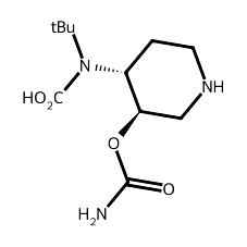 CC(C)(C)N(C(=O)O)[C@@H]1CCNC[C@H]1OC(N)=O